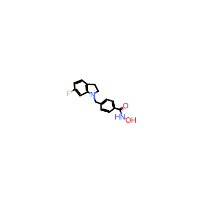 O=C(NO)c1ccc(CN2CCc3ccc(F)cc32)cc1